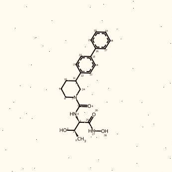 C[C@@H](O)[C@@H](NC(=O)N1CCCC(c2ccc(-c3ccccc3)cc2)C1)C(=O)NO